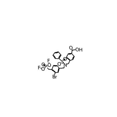 O=C(O)c1ccc(CN(Cc2ccc(CP(=O)(OF)OF)c(Br)c2)S(=O)(=O)c2ccccc2)cc1